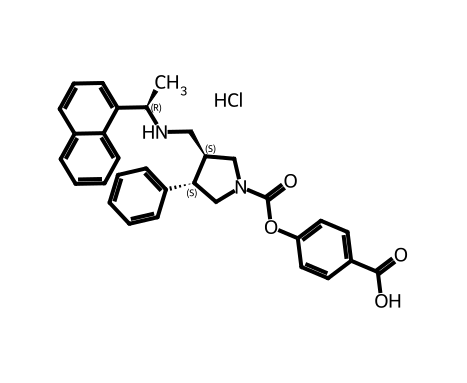 C[C@@H](NC[C@H]1CN(C(=O)Oc2ccc(C(=O)O)cc2)C[C@@H]1c1ccccc1)c1cccc2ccccc12.Cl